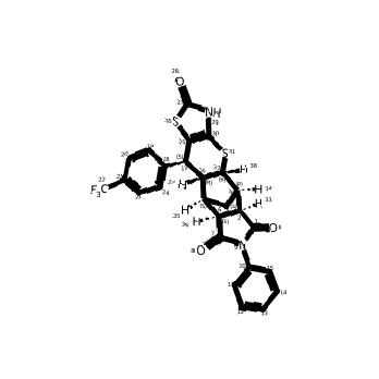 O=C1[C@@H]2[C@H]3C[C@@H]([C@@H]2C(=O)N1c1ccccc1)[C@@H]1[C@@H](c2ccc(C(F)(F)F)cc2)c2sc(=O)[nH]c2S[C@H]31